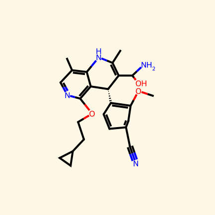 COc1cc(C#N)ccc1[C@H]1C(C(N)O)=C(C)Nc2c(C)cnc(OCCC3CC3)c21